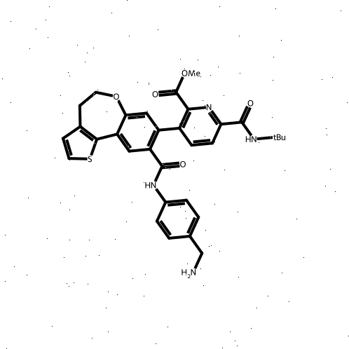 COC(=O)c1nc(C(=O)NC(C)(C)C)ccc1-c1cc2c(cc1C(=O)Nc1ccc(CN)cc1)-c1sccc1CCO2